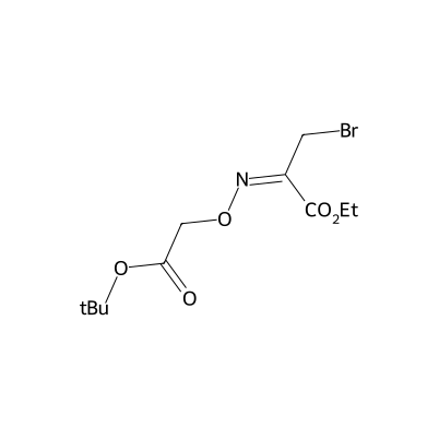 CCOC(=O)/C(CBr)=N\OCC(=O)OC(C)(C)C